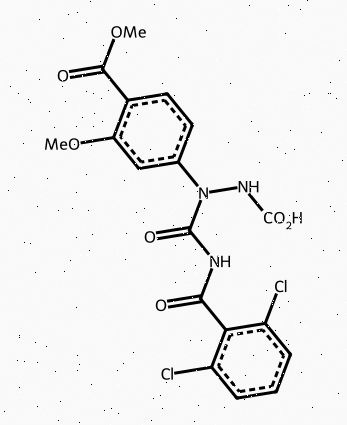 COC(=O)c1ccc(N(NC(=O)O)C(=O)NC(=O)c2c(Cl)cccc2Cl)cc1OC